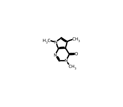 Cc1cn(C)c2ncn(C)c(=O)c12